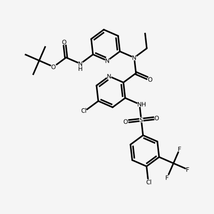 CCN(C(=O)c1ncc(Cl)cc1NS(=O)(=O)c1ccc(Cl)c(C(F)(F)F)c1)c1cccc(NC(=O)OC(C)(C)C)n1